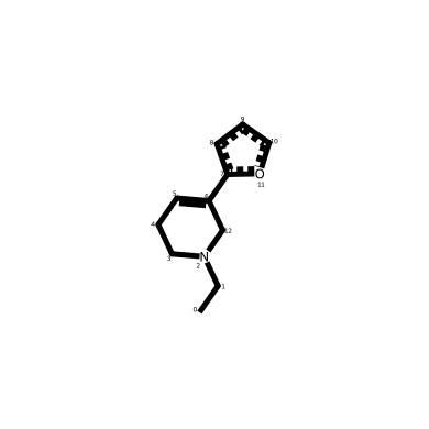 CCN1CCC=C(c2ccco2)C1